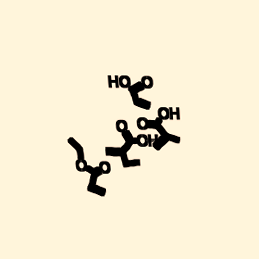 C=C(C)C(=O)O.C=C(CC)C(=O)O.C=CC(=O)O.C=CC(=O)OCC